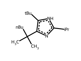 CCCCC(C)(C)c1nc(C(C)C)[nH]c1C(C)(C)C